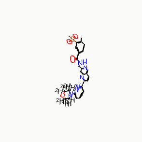 [2H]C1([2H])OC([2H])([2H])C([2H])([2H])N(c2cccc(-c3ccc4cnc(CNC(=O)c5ccc(C)c(S(C)(=O)=O)c5)cc4n3)n2)C1([2H])[2H]